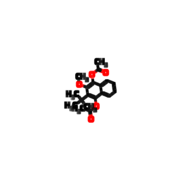 COc1c(C(C)(C)C)c(OC(C)=O)c2ccccc2c1OC(C)=O